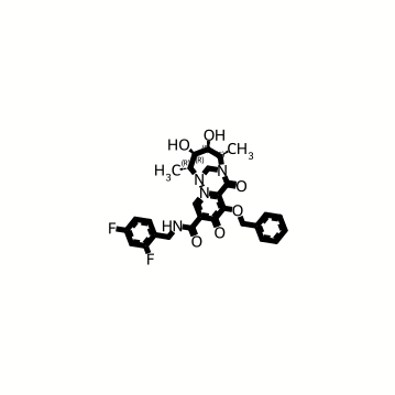 C[C@@H]1[C@@H](O)[C@@H](O)[C@H](C)N2CN1n1cc(C(=O)NCc3ccc(F)cc3F)c(=O)c(OCc3ccccc3)c1C2=O